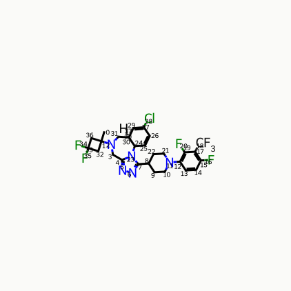 CC1(N2Cc3nnc(C4CCN(c5ccc(F)c(C(F)(F)F)c5F)CC4)n3C3C=CC(Cl)=C[C@@H]3C2)CC(F)(F)C1